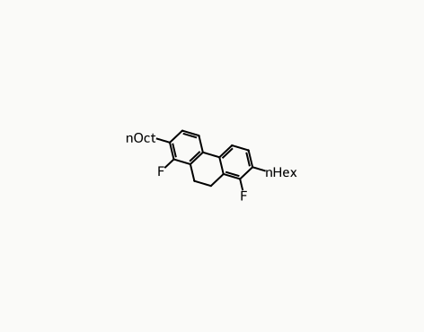 CCCCCCCCc1ccc2c(c1F)CCc1c-2ccc(CCCCCC)c1F